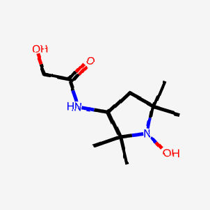 CC1(C)CC(NC(=O)CO)C(C)(C)N1O